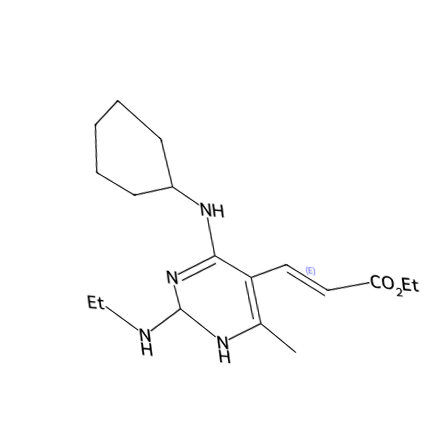 CCNC1N=C(NC2CCCCC2)C(/C=C/C(=O)OCC)=C(C)N1